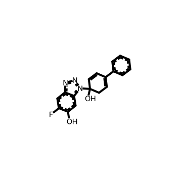 Oc1cc2c(cc1F)nnn2C1(O)C=CC(c2ccccc2)=CC1